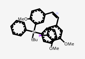 COc1ccc(/C=C\c2cc(I)c(OC)c(OC)c2)cc1[Si](c1ccccc1)(c1ccccc1)C(C)(C)C